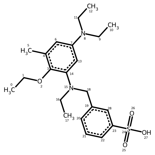 CCOc1c(C)cc(N(CC)CC)cc1N(CC)Cc1cccc(S(=O)(=O)O)c1